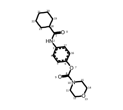 O=C(Nc1ccc(OC(=O)N2CCOCC2)cc1)C1CCCCC1